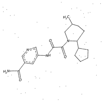 CC1CCC(C2CCCC2)N(C(=O)C(=O)Nc2cncc(C(N)=O)c2)C1